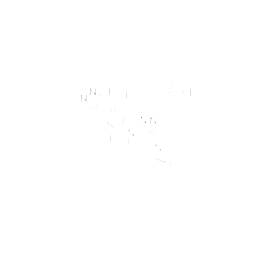 Cn1cc(-c2cc(F)c(Nc3nn(C4CCS(O)(O)CC4)c4c3CN(C(=O)OC(C)(C)C)CC4)cc2C(F)F)cn1